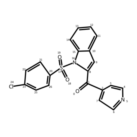 O=C(c1ccncc1)c1cc2ccccc2n1S(=O)(=O)c1ccc(Cl)cc1